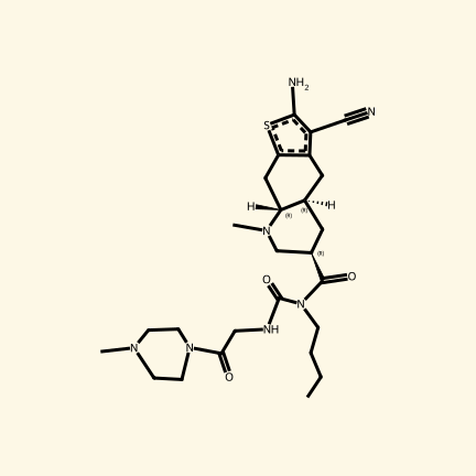 CCCCN(C(=O)NCC(=O)N1CCN(C)CC1)C(=O)[C@@H]1C[C@@H]2Cc3c(sc(N)c3C#N)C[C@H]2N(C)C1